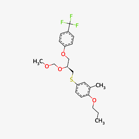 CCCOc1ccc(SC[C@H](COc2ccc(C(F)(F)F)cc2)OCOC)cc1C